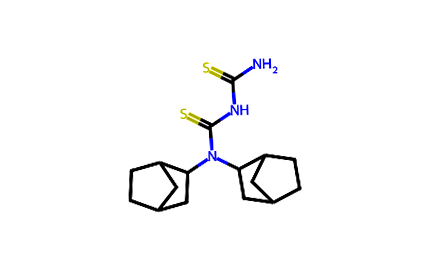 NC(=S)NC(=S)N(C1CC2CCC1C2)C1CC2CCC1C2